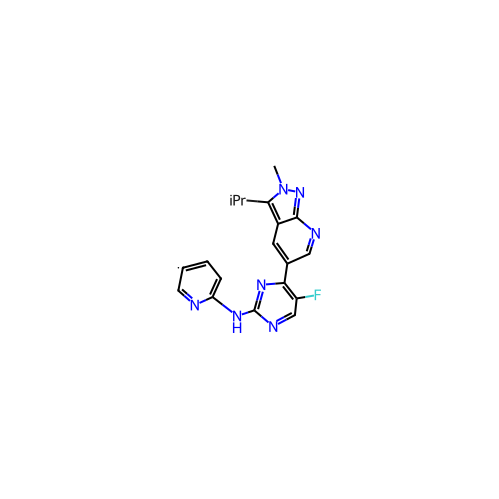 CC(C)c1c2cc(-c3nc(Nc4cc[c]cn4)ncc3F)cnc2nn1C